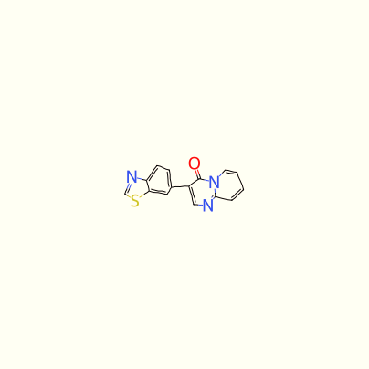 O=c1c(-c2ccc3ncsc3c2)cnc2ccccn12